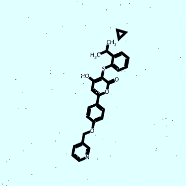 C1CC1.CC(C)c1ccccc1Sc1c(O)cc(-c2ccc(OCc3cccnc3)cc2)oc1=O